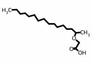 CCCCCCCCCCCCCCC(C)OCC(=O)O